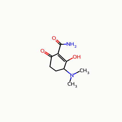 CN(C)C1CCC(=O)C(C(N)=O)=C1O